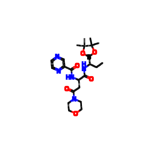 CCC(NC(=O)C(CC(=O)N1CCOCC1)NC(=O)c1cnccn1)B1OC(C)(C)C(C)(C)O1